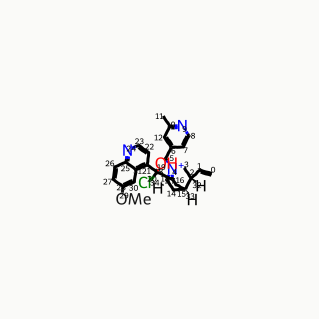 C=C[C@H]1C[N+]2(Cc3ccnc(C)c3)CC[C@H]1C[C@H]2[C@](O)(Cl)c1ccnc2ccc(OC)cc12